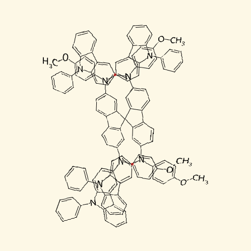 COc1ccc(N(c2ccc3c(c2)C2(c4cc(N(c5ccc(OC)cc5)c5ccc6c(c5)c5ccccc5n6-c5ccccc5)ccc4-3)c3cc(N(c4ccc(OC)cc4)c4ccc5c(c4)c4ccccc4n5-c4ccccc4)ccc3-c3ccc(N(c4ccc(OC)cc4)c4ccc5c(c4)c4ccccc4n5-c4ccccc4)cc32)c2ccc3c(c2)c2ccccc2n3-c2ccccc2)cc1